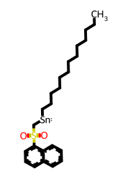 CCCCCCCCCCCC[CH2][Sn][CH2]S(=O)(=O)c1cccc2ccccc12